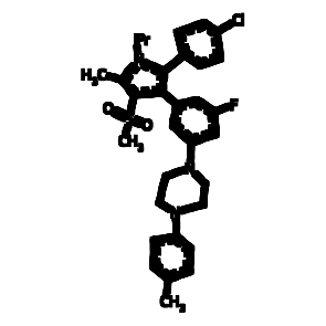 Cc1ccc(N2CCN(c3cc(F)cc(-c4c(S(C)(=O)=O)c(C)n(C(C)C)c4-c4ccc(Cl)cc4)c3)CC2)cc1